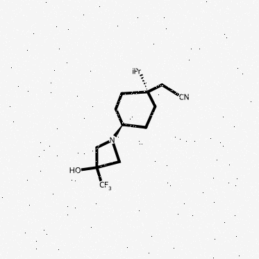 CC(C)[C@]1(CC#N)CC[C@@H](N2CC(O)(C(F)(F)F)C2)CC1